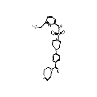 CCc1cccc(NS(=O)(=O)N2CCC(c3ccc(C(=O)N4CCOCC4)cc3)CC2)n1